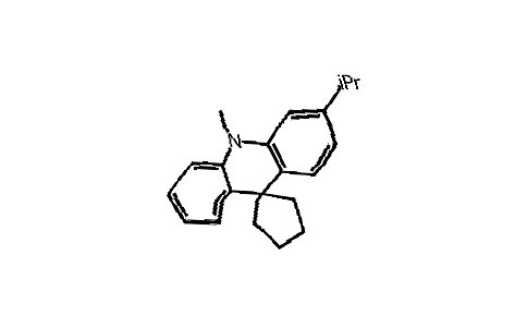 CC(C)c1ccc2c(c1)N(C)c1ccccc1C21CCCC1